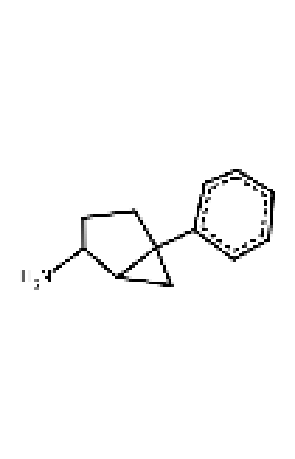 NC1CCC2(c3ccccc3)CC12